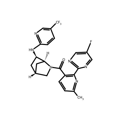 Cc1ccc(C(=O)N2C[C@@H]3C[C@@H](Nc4ccc(C(F)(F)F)cn4)[C@@H]2C3)c(-c2ncc(F)cn2)n1